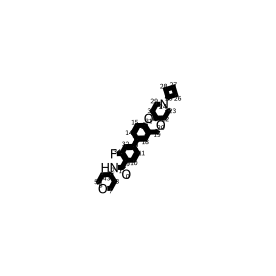 O=C(NC1CCOCC1)c1ccc(-c2ccc3c(c2)COC2(CCN(C4CCC4)CC2)O3)cc1F